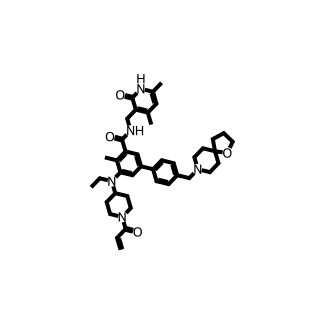 C=CC(=O)N1CCC(N(CC)c2cc(-c3ccc(CN4CCC5(CCCO5)CC4)cc3)cc(C(=O)NCc3c(C)cc(C)[nH]c3=O)c2C)CC1